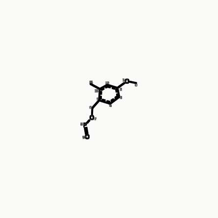 COc1ccc(COP=O)c(C)c1